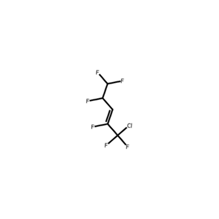 FC(=CC(F)C(F)F)C(F)(F)Cl